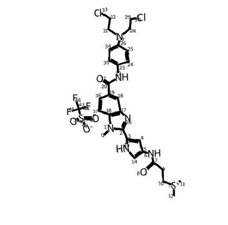 Cn1c(-c2cc(NC(=O)CC[S+](C)C)c[nH]2)nc2cc(C(=O)Nc3ccc(N(CCCl)CCCl)cc3)ccc21.O=S(=O)([O-])C(F)(F)F